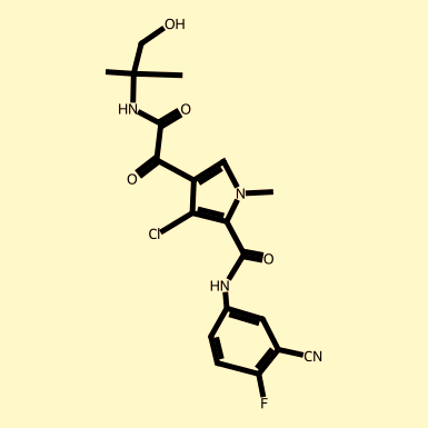 Cn1cc(C(=O)C(=O)NC(C)(C)CO)c(Cl)c1C(=O)Nc1ccc(F)c(C#N)c1